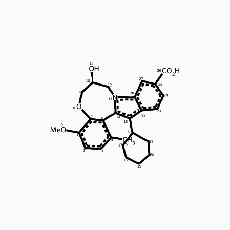 COc1ccc(C)c2c1OC[C@@H](O)Cn1c-2c(C2CCCCC2)c2ccc(C(=O)O)cc21